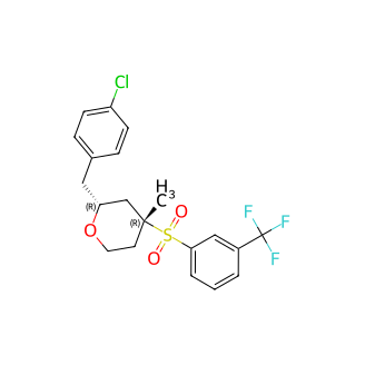 C[C@@]1(S(=O)(=O)c2cccc(C(F)(F)F)c2)CCO[C@H](Cc2ccc(Cl)cc2)C1